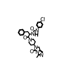 Cc1ncc2n1C(=O)N(C1CCN(C(=O)C(Cc3ccccc3)NC(=O)Nc3ccc(Cl)cc3)CC1)C2